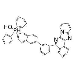 O[PH](c1ccccc1)(c1ccccc1)c1ccc2cc(-c3cccc(-c4nc5c(nc6ccccn65)c5ccccc45)c3)ccc2c1